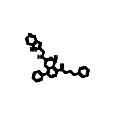 N#Cc1c(NCCCc2ccccc2)ccc(-c2ccccc2)c1CC(=O)NCc1cc2cnccc2[nH]1